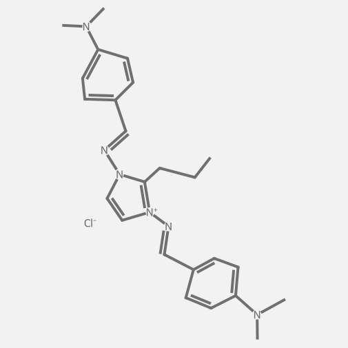 CCCc1n(N=Cc2ccc(N(C)C)cc2)cc[n+]1N=Cc1ccc(N(C)C)cc1.[Cl-]